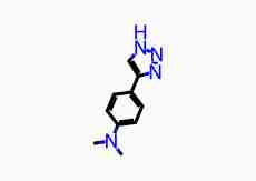 CN(C)c1ccc(-c2c[nH]nn2)cc1